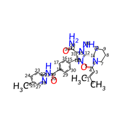 CC(C)=CC(=O)N1CCCC[C@H]1c1nc(-c2ccc(C(=O)Nc3ccc(C)cn3)cc2)c(C(N)=O)n1N